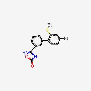 CCSc1cc(CC)ccc1-c1cccc(-c2nc(=O)o[nH]2)c1